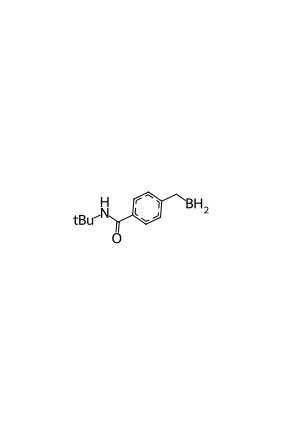 BCc1ccc(C(=O)NC(C)(C)C)cc1